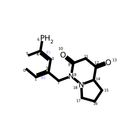 C/C=C(\C=C(/C)P)CN1C(=O)CC(=O)C2CCCN21